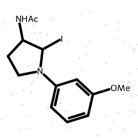 COc1cccc(N2CCC(NC(C)=O)C2I)c1